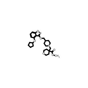 COC(=O)C1(CN2CCC(COc3noc4cccc(OC5CCCC5)c34)CC2)CCOCC1